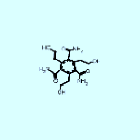 NC(=O)c1c(CCO)c(C(N)=O)c(CCO)c(C(N)=O)c1CCO